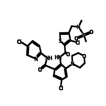 CN(Cc1csc(C(=O)Nc2c(C(=O)Nc3ccc(Cl)cn3)cc(Cl)cc2N2CCOCC2)c1Cl)S(C)(=O)=O